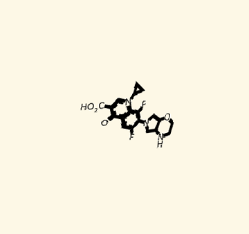 O=C(O)c1cn(C2CC2)c2c(F)c(N3CC4NCCOC4C3)c(F)cc2c1=O